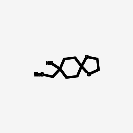 COCC1(O)CCC2(CC1)OCCO2